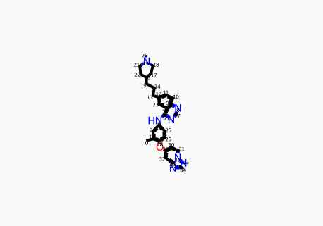 Cc1cc(Nc2ncnc3ccc(CCCC4CCN(C)CC4)cc23)ccc1Oc1ccn2ncnc2c1